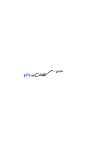 C=CCC=C=N